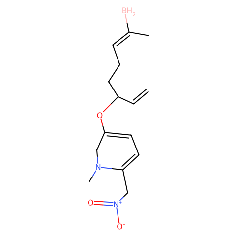 B/C(C)=C/CCC(C=C)OC1=CC=C(C[N+](=O)[O-])N(C)C1